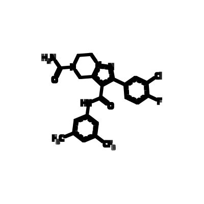 NC(=O)N1CCn2nc(-c3ccc(F)c(Cl)c3)c(C(=O)Nc3cc(C(F)(F)F)cc(C(F)(F)F)c3)c2C1